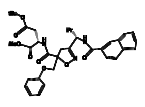 COC(=O)[C@H](CC(=O)OC(C)(C)C)NC(=O)C1(COc2ccccc2)CC([C@@H](NC(=O)c2ccc3ccccc3c2)C(C)C)=NO1